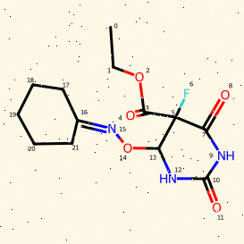 CCOC(=O)C1(F)C(=O)NC(=O)NC1ON=C1CCCCC1